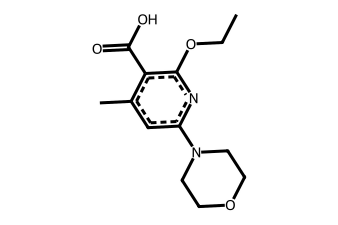 CCOc1nc(N2CCOCC2)cc(C)c1C(=O)O